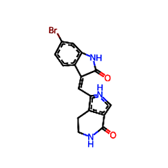 O=C1Nc2cc(Br)ccc2C1=Cc1[nH]cc2c1CCNC2=O